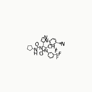 Cc1c(-c2ccnn2-c2ccc(C#N)cc2)n(C(=O)NC2CCCC2)c(=O)n1-c1cccc(C(F)(F)F)c1